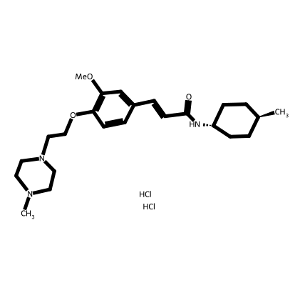 COc1cc(/C=C/C(=O)N[C@H]2CC[C@H](C)CC2)ccc1OCCN1CCN(C)CC1.Cl.Cl